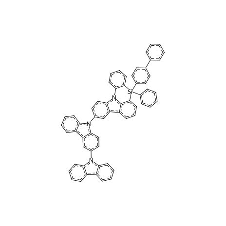 c1ccc(-c2ccc([Si]3(c4ccccc4)c4ccccc4-n4c5ccc(-n6c7ccccc7c7cc(-n8c9ccccc9c9ccccc98)ccc76)cc5c5cccc3c54)cc2)cc1